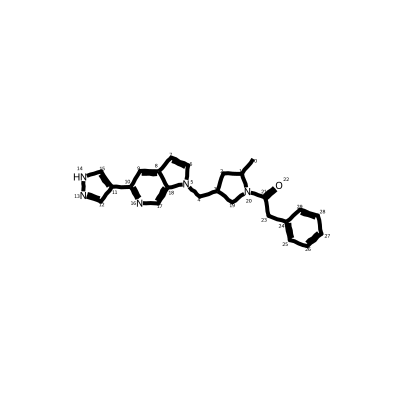 CC1CC(Cn2ccc3cc(-c4cn[nH]c4)ncc32)CN1C(=O)Cc1ccccc1